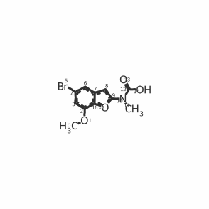 COc1cc(Br)cc2cc(N(C)C(=O)O)oc12